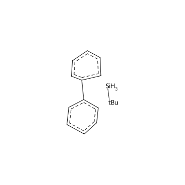 CC(C)(C)[SiH3].c1ccc(-c2ccccc2)cc1